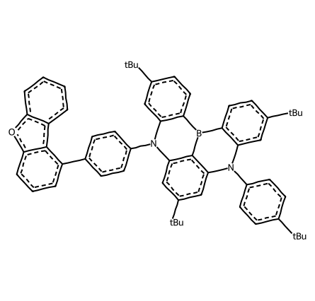 CC(C)(C)c1ccc(N2c3cc(C(C)(C)C)ccc3B3c4ccc(C(C)(C)C)cc4N(c4ccc(-c5cccc6oc7ccccc7c56)cc4)c4cc(C(C)(C)C)cc2c43)cc1